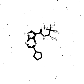 C=C(N[C@@H](C)C(C)(C)O)c1c[nH]c2ncc(C3CCCC3)nc12